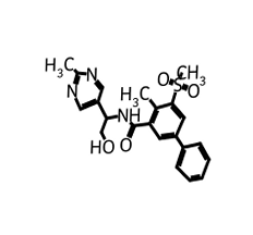 Cc1ncc(C(CO)NC(=O)c2cc(-c3ccccc3)cc(S(C)(=O)=O)c2C)cn1